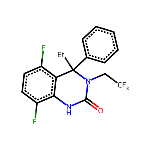 CCC1(c2ccccc2)c2c(F)ccc(F)c2NC(=O)N1CC(F)(F)F